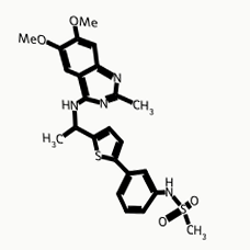 COc1cc2nc(C)nc(NC(C)c3ccc(-c4cccc(NS(C)(=O)=O)c4)s3)c2cc1OC